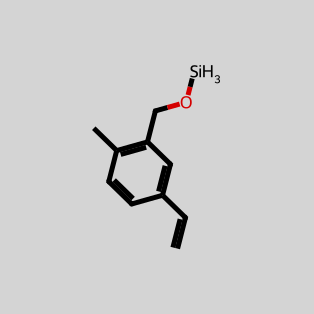 C=Cc1ccc(C)c(CO[SiH3])c1